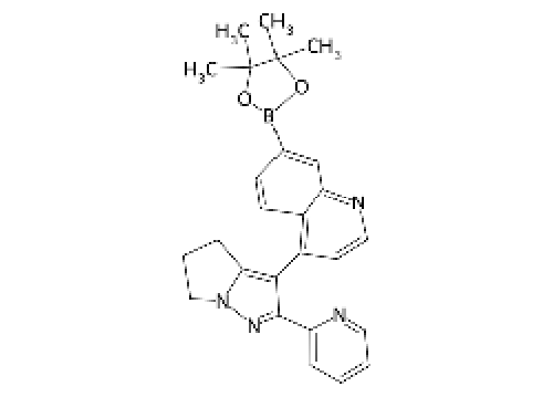 CC1(C)OB(c2ccc3c(-c4c(-c5ccccn5)nn5c4CCC5)ccnc3c2)OC1(C)C